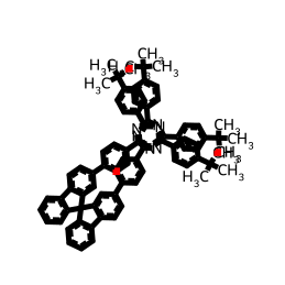 CC(C)(C)c1ccc(-c2nc(-c3ccc(-c4ccc5c(c4)C4(c6ccccc6-5)c5ccccc5-c5ccc(-c6ccc(-c7nc(-c8ccc(C(C)(C)C)cc8)nc(-c8ccc(C(C)(C)C)cc8)n7)cc6)cc54)cc3)nc(-c3ccc(C(C)(C)C)cc3)n2)cc1